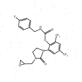 O=C(NCc1ccc(F)cc1)Oc1c(N2CCN(CC3CO3)C2=O)cc(C(F)(F)F)cc1C(F)(F)F